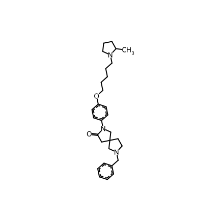 CC1CCCN1CCCCCOc1ccc(N2CC3(CCN(Cc4ccccc4)C3)CC2=O)cc1